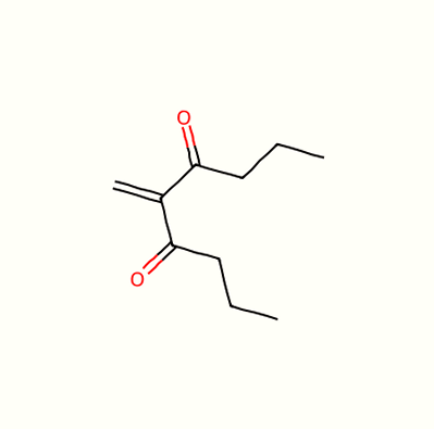 C=C(C(=O)CCC)C(=O)CCC